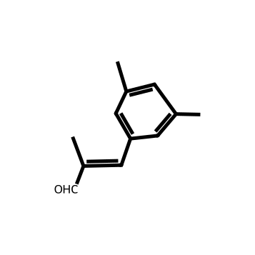 CC(C=O)=Cc1cc(C)cc(C)c1